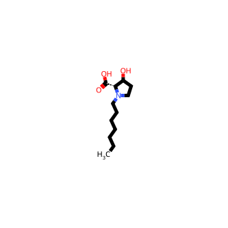 CCCCCCCN1CCC(O)[C@H]1C(=O)O